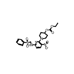 CCOC(=O)OC1CCN(c2nc(NCS(=O)(=O)c3ccccc3)ccc2[N+](=O)[O-])CC1